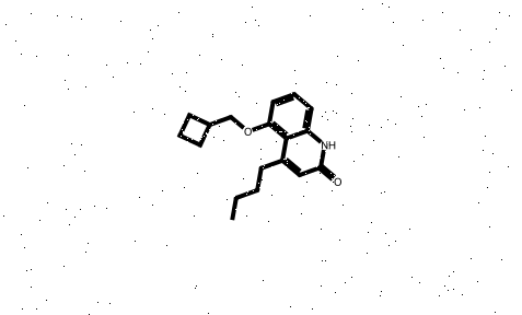 CCCCc1cc(=O)[nH]c2cccc(OCC3CCC3)c12